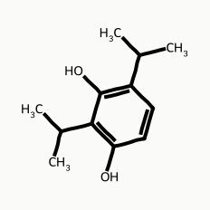 CC(C)c1ccc(O)c(C(C)C)c1O